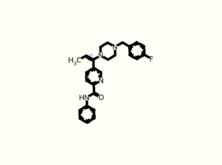 C/C=C(\c1ccc(C(=O)Nc2ccccc2)nc1)N1CCN(Cc2ccc(F)cc2)CC1